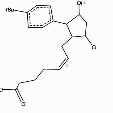 CC(C)OC(=O)CCC/C=C\CC1C(Cl)CC(O)C1c1ccc(C(C)(C)C)cc1